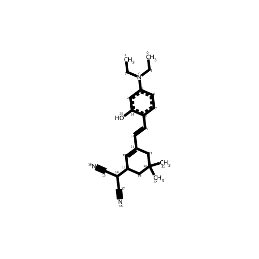 CCN(CC)c1ccc(/C=C/C2=CC(C(C#N)C#N)CC(C)(C)C2)c(O)c1